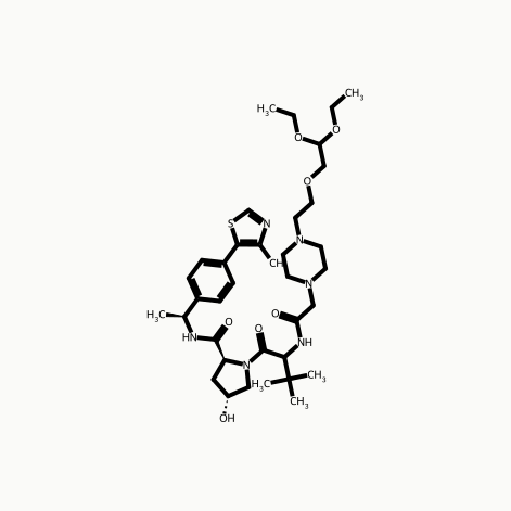 CCOC(COCCN1CCN(CC(=O)NC(C(=O)N2C[C@H](O)C[C@H]2C(=O)N[C@@H](C)c2ccc(-c3scnc3C)cc2)C(C)(C)C)CC1)OCC